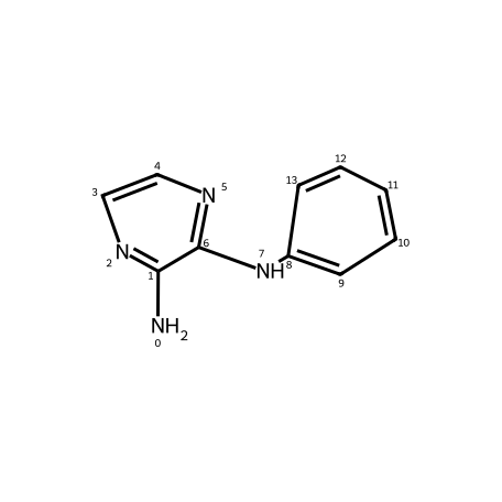 Nc1nccnc1Nc1ccccc1